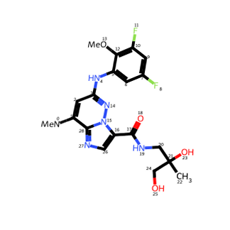 CNc1cc(Nc2cc(F)cc(F)c2OC)nn2c(C(=O)NCC(C)(O)CO)cnc12